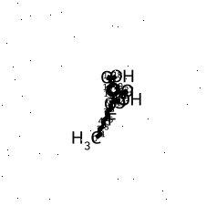 CCCCCC(F)CCOC(=O)C1CCC(C(=O)O)CC1C(=O)O